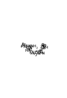 Cc1c(CN2CCC(Nc3nc(N)nc4sc(CC(F)(F)F)cc34)CC2)ccc2c1cc(C#N)n2C[C@H](C)C1CCS(=O)(=O)NC1